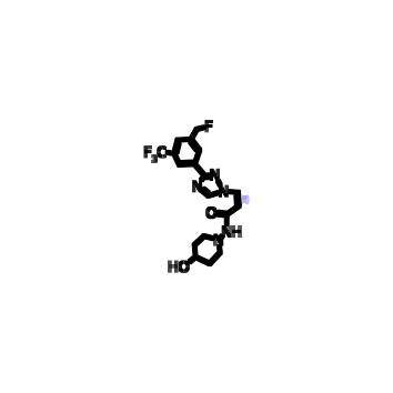 O=C(/C=C\n1cnc(-c2cc(CF)cc(C(F)(F)F)c2)n1)NN1CCC(O)CC1